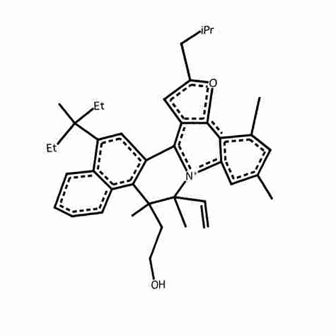 C=CC1(C)[n+]2c(c3cc(CC(C)C)oc3c3c(C)cc(C)cc32)-c2cc(C(C)(CC)CC)c3ccccc3c2C1(C)CCO